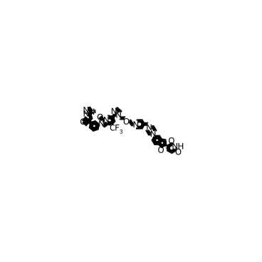 Cn1cnnc1CC1(c2cccc(-n3cc4c(C(F)(F)F)cc(-c5nccn5CCOCCN5CCC(CN6CCN(c7ccc8c(c7)CC([C@@H]7CCC(=O)NC7=O)C8=O)CC6)CC5)cn4c3=O)c2)COC1